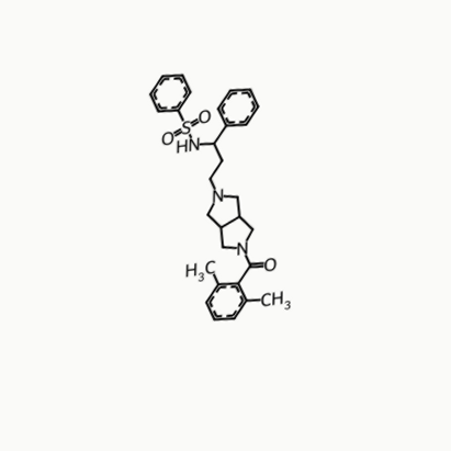 Cc1cccc(C)c1C(=O)N1CC2CN(CCC(NS(=O)(=O)c3ccccc3)c3ccccc3)CC2C1